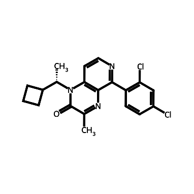 Cc1nc2c(-c3ccc(Cl)cc3Cl)nccc2n([C@@H](C)C2CCC2)c1=O